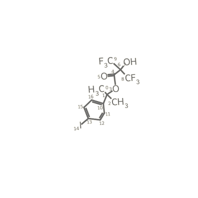 CC(C)(OC(=O)C(O)(C(F)(F)F)C(F)(F)F)c1ccc(I)cc1